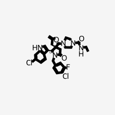 C=C(C)C[C@@]1(C(=O)N2CCN(C(=O)NCC)CC2)CC(=O)N(Cc2ccc(Cl)c(F)c2)[C@H]1c1c[nH]c2cc(Cl)ccc12